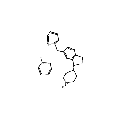 CCN1CCC(N2CCc3ccc(Cc4ccccn4)cc32)CC1.Fc1ccccc1